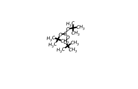 CC(C)(C)OOB(OC(C)(C)C)OC(C)(C)C